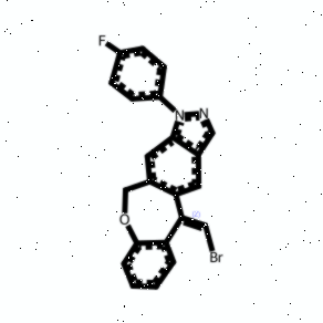 Fc1ccc(-n2ncc3cc4c(cc32)COc2ccccc2/C4=C\Br)cc1